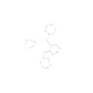 CC(c1ccccc1)=c1cccc2c1=[C]([Zr+2][C]1=CC=CC1)c1ccccc1-2.[Cl-].[Cl-]